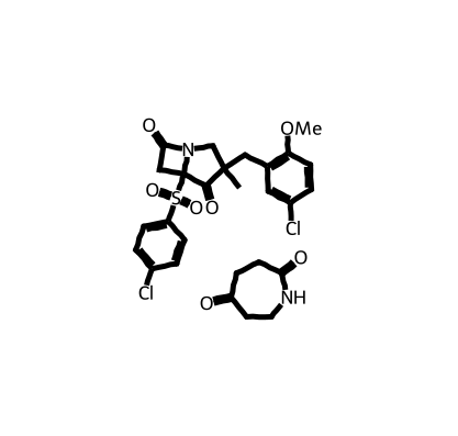 COc1ccc(Cl)cc1CC1(C)CN2C(=O)CC2(S(=O)(=O)c2ccc(Cl)cc2)C1=O.O=C1CCNC(=O)CC1